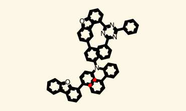 c1ccc(-c2nc(-c3ccccc3)nc(-c3cccc4oc5ccc(-c6ccc(N(c7ccc(-c8cccc9c8oc8ccccc89)cc7)c7ccccc7-c7ccccc7)cc6)cc5c34)n2)cc1